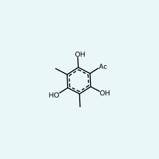 CC(=O)c1c(O)c(C)c(O)c(C)c1O